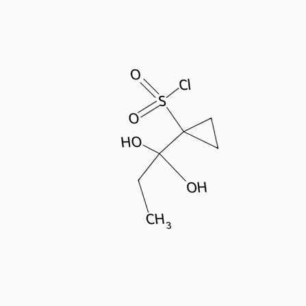 CCC(O)(O)C1(S(=O)(=O)Cl)CC1